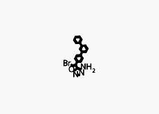 Nc1ncnc2oc(Br)c(-c3ccc(-c4cccc(-c5ccccc5)c4)cc3)c12